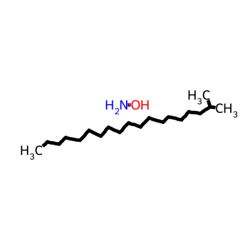 CCCCCCCCCCCCCCCCCC(C)C.NO